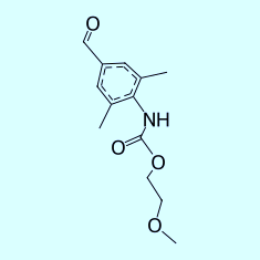 COCCOC(=O)Nc1c(C)cc(C=O)cc1C